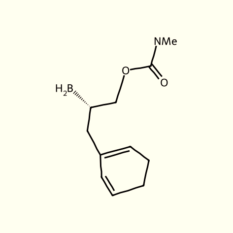 B[C@H](COC(=O)NC)CC1=CCCC=C1